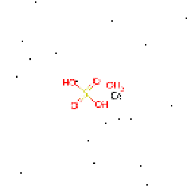 O.O=S(=O)(O)O.[Ce]